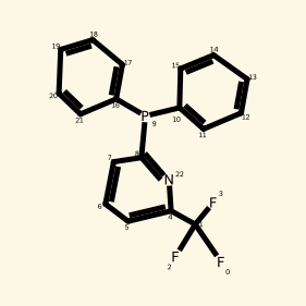 FC(F)(F)c1cccc(P(c2ccccc2)c2ccccc2)n1